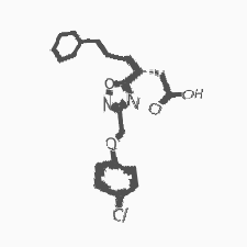 O=C(O)C[C@@H](CCCC1CCCCC1)c1nc(COc2ccc(Cl)cc2)no1